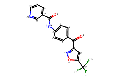 O=C(Nc1ccc(C(=O)c2cc(C(F)(F)F)on2)cc1)c1cccnc1